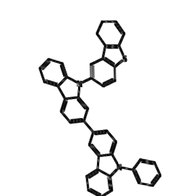 C1=Cc2sc3ccc(-n4c5ccccc5c5ccc(-c6ccc7c(c6)c6ccccc6n7-c6ccccc6)cc54)cc3c2CC1